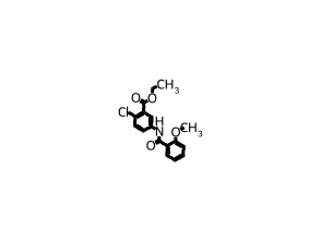 CCOC(=O)c1cc(NC(=O)c2ccccc2OC)ccc1Cl